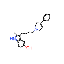 Cc1[nH]c2ccc(O)cc2c1CCCCN1CC=C(c2ccccc2)CC1